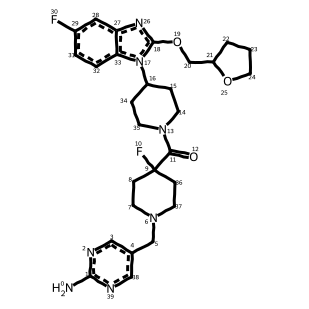 Nc1ncc(CN2CCC(F)(C(=O)N3CCC(n4c(OCC5CCCO5)nc5cc(F)ccc54)CC3)CC2)cn1